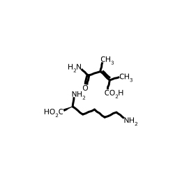 CC(C(N)=O)=C(C)C(=O)O.NCCCC[C@H](N)C(=O)O